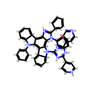 c1ccc(-c2nc3c4c5ccccc5n(-c5ccccc5)c4c4c5ccccc5n(-c5nc(-c6ccncc6)nc(-c6ccncc6)n5)c4c3n2-c2ccccc2)cc1